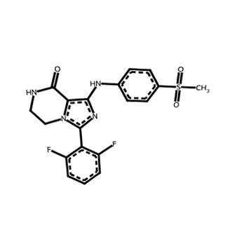 CS(=O)(=O)c1ccc(Nc2nc(-c3c(F)cccc3F)n3c2C(=O)NCC3)cc1